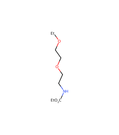 CCOCCOCCNC(=O)OCC